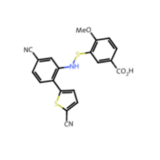 COc1ccc(C(=O)O)cc1SNc1cc(C#N)ccc1-c1ccc(C#N)s1